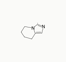 [c]1ncc2n1CCCC2